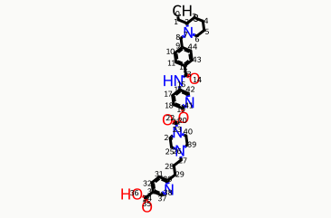 CCC1CCCCN1Cc1ccc(C(=O)Nc2ccc(OC(=O)N3CCN(CCCc4ccc(C(=O)O)cn4)CC3)nc2)cc1